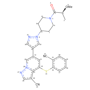 CO[C@@H](C)C(=O)N1CCC(n2cc(-c3cc(Sc4ccccc4C#N)c4c(C#N)cnn4c3)cn2)CC1